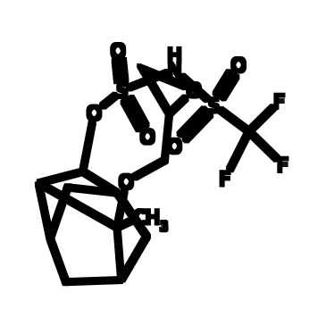 CC1(OCC2CO2)C2CC3CC(C2)C1C3OS(=O)(=O)NS(=O)(=O)C(F)(F)F